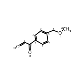 COCc1ccc(C(=O)C=O)cc1